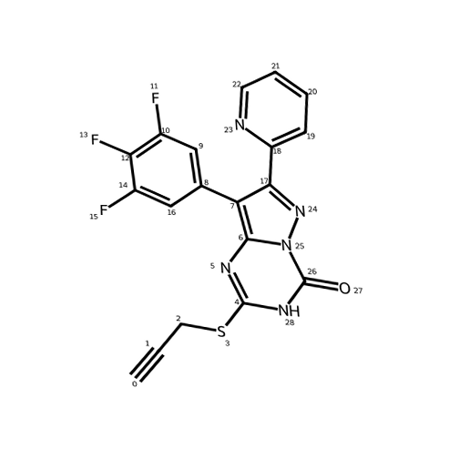 C#CCSc1nc2c(-c3cc(F)c(F)c(F)c3)c(-c3ccccn3)nn2c(=O)[nH]1